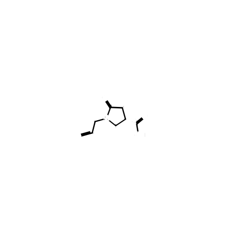 C=CCN1C[C@@H](C(=O)O)CC1=O